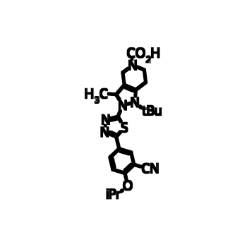 CC(C)Oc1ccc(-c2nnc(N3C(C)C4=C(CCN(C(=O)O)C4)N3C(C)(C)C)s2)cc1C#N